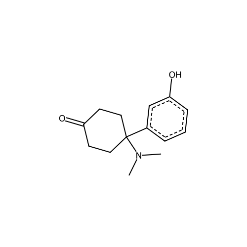 CN(C)C1(c2cccc(O)c2)CCC(=O)CC1